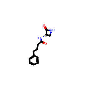 O=C(CCCc1ccccc1)N[C@H]1CNC1=O